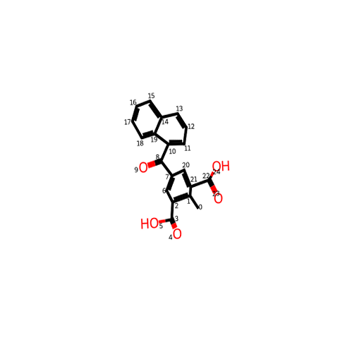 Cc1c(C(=O)O)cc(C(=O)c2cccc3ccccc23)cc1C(=O)O